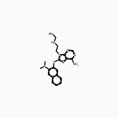 CN(C)c1cc2ccccc2cc1Sc1nc2c(N)ncnc2n1CCNCC(C)(C)C